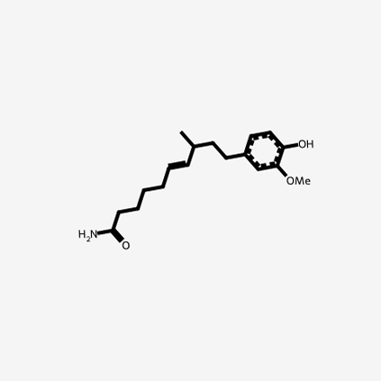 COc1cc(CCC(C)C=CCCCCC(N)=O)ccc1O